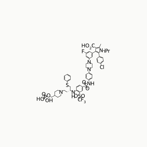 Cc1c(C(=O)O)c(-c2cc(F)cc(N3CCN(c4ccc(NS(=O)(=O)c5ccc(N[C@H](CCN6CCC(COP(=O)(O)O)CC6)CSc6ccccc6)c(S(=O)(=O)C(F)(F)F)c5)cc4)CC3)c2)c(-c2ccc(Cl)cc2)n1C(C)C